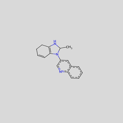 CC1NC2=C(C=CCC2)N1c1cnc2ccccc2c1